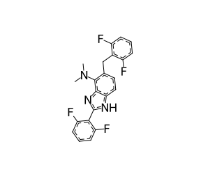 CN(C)c1c(Cc2c(F)cccc2F)ccc2[nH]c(-c3c(F)cccc3F)nc12